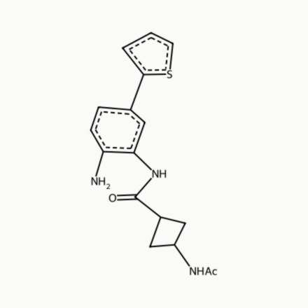 CC(=O)NC1CC(C(=O)Nc2cc(-c3cccs3)ccc2N)C1